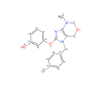 CN1COCc2c1nc(Oc1cccc(O)c1)n2Cc1ccc(Cl)cc1